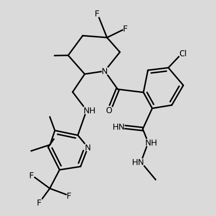 C\C=C(/C=N\C(NCC1C(C)CC(F)(F)CN1C(=O)c1cc(Cl)ccc1C(=N)NNC)=C(\C)CC)C(F)(F)F